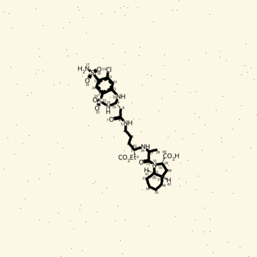 CCOC(=O)[C@H](CCCNC(=O)C[C@H]1Nc2cc(Cl)c(S(N)(=O)=O)cc2S(=O)(=O)N1)NC(C)C(=O)N1[C@@H]2CCCC[C@@H]2C[C@H]1C(=O)O